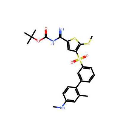 CNc1ccc(-c2cccc(S(=O)(=O)c3cc(C(=N)NC(=O)OC(C)(C)C)sc3SC)c2)c(C)c1